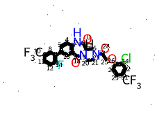 O=C1Nc2ccc(-c3cc(C(F)(F)F)ccc3F)cc2C(=O)N2CCN(C(=O)COc3ccc(C(F)(F)F)cc3Cl)C[C@@H]12